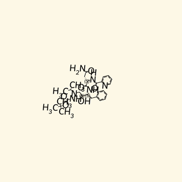 CC(C)N(C[C@H](O)[C@H](Cc1ccccc1)NC(=O)[C@H](CC(N)=O)NC(=O)c1ccccn1)NC(=O)OC(C)(C)C